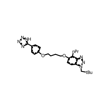 CCCc1c(OCCCCOc2ccc(-c3nnn[nH]3)cc2)ccc2c1nnn2CC(C)(C)C